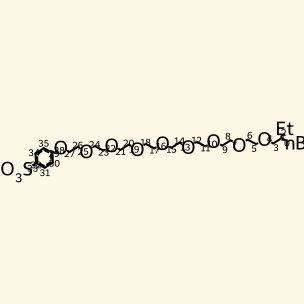 CCCCC(CC)COCCOCCOCCOCCOCCOCCOCCOCCOc1ccc(S(=O)(=O)O)cc1